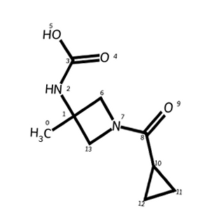 CC1(NC(=O)O)CN(C(=O)C2CC2)C1